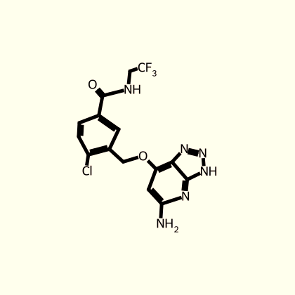 Nc1cc(OCc2cc(C(=O)NCC(F)(F)F)ccc2Cl)c2nn[nH]c2n1